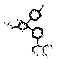 CCN(c1cc(-c2nc(SC)[nH]c2-c2ccc(F)cc2)ccn1)N(C)C